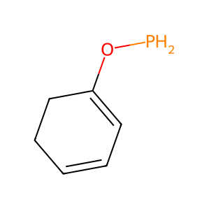 POC1=CC=CCC1